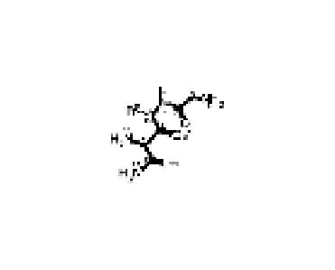 CC(C)[C@H](NC(=O)CN)C(=O)C(N)C(N)=O